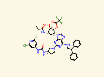 CCC(=O)N[C@H]1C[C@@H](n2cnc3c(NCC(c4ccccc4)c4ccccc4)nc(N4CC[C@@H](NC(=O)Nc5cc(Cl)nc(Cl)c5)C4)nc32)[C@H](OC(=O)C(F)(F)F)[C@@H]1O